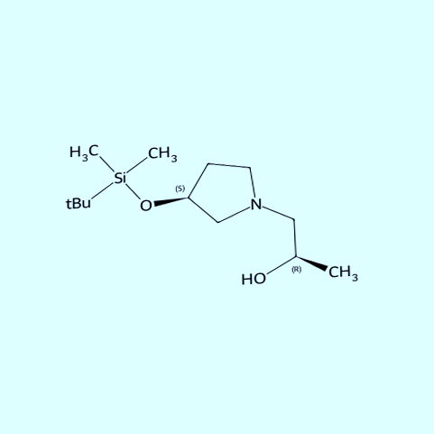 C[C@@H](O)CN1CC[C@H](O[Si](C)(C)C(C)(C)C)C1